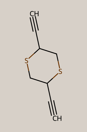 C#CC1CSC(C#C)CS1